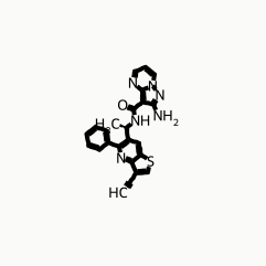 C#Cc1csc2cc([C@@H](C)NC(=O)c3c(N)nn4cccnc34)c(-c3ccccc3)nc12